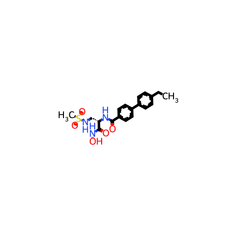 CCc1ccc(-c2ccc(C(=O)N[C@@H](CNS(C)(=O)=O)C(=O)NO)cc2)cc1